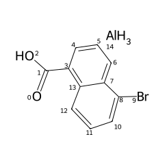 O=C(O)c1cccc2c(Br)cccc12.[AlH3]